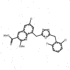 COC(=O)c1cc2cc(Cl)cc(Cc3nnc(Cc4c(F)cccc4Cl)o3)c2nc1OC